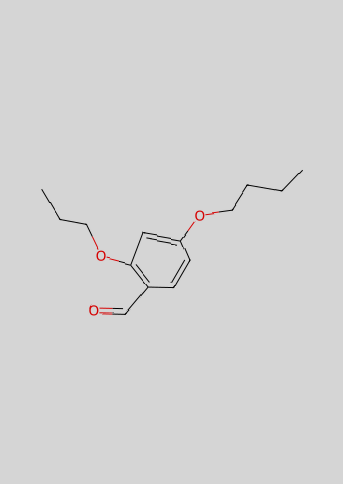 CCCCOc1ccc(C=O)c(OCCC)c1